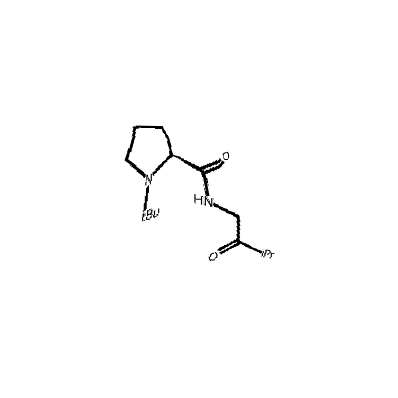 CC(C)C(=O)CNC(=O)[C@@H]1CCCN1C(C)(C)C